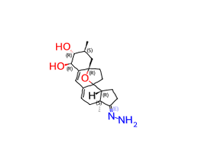 C[C@H]1C[C@@]23CCC4(O2)C(=CC[C@]2(C)/C(=N/N)CC[C@@H]42)C=C3[C@@H](O)[C@@H]1O